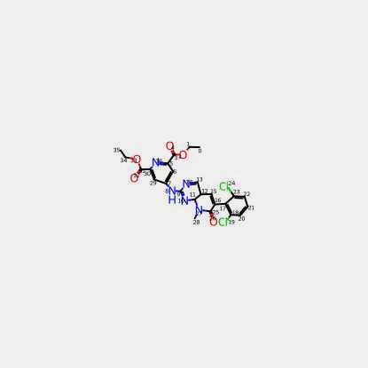 CCOC(=O)c1cc(NC2=NC3C(C=N2)C=C(c2c(Cl)cccc2Cl)C(=O)N3C)cc(C(=O)OCC)n1